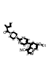 C=CC(C)C(=O)N1CCN(c2ncc(-c3cc(OCC)cn4ncc(C#N)c34)cn2)CC1